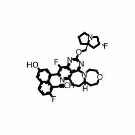 C#Cc1c(F)ccc2cc(O)cc(-c3nc4c5c(nc(OC[C@@]67CCCN6C[C@H](F)C7)nc5c3F)N3CCOCC[C@@H]3CC4)c12